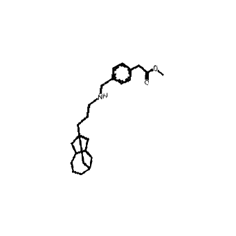 COC(=O)Cc1ccc(CNCCCC23CC4CCCC(C2)C(C4)C3)cc1